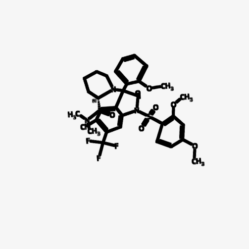 COc1ccc(S(=O)(=O)N2C(=O)C(c3ccccc3OC)(N3CCCC[C@H]3C(=O)N(C)C)c3cc(Cl)c(C(F)(F)F)cc32)c(OC)c1